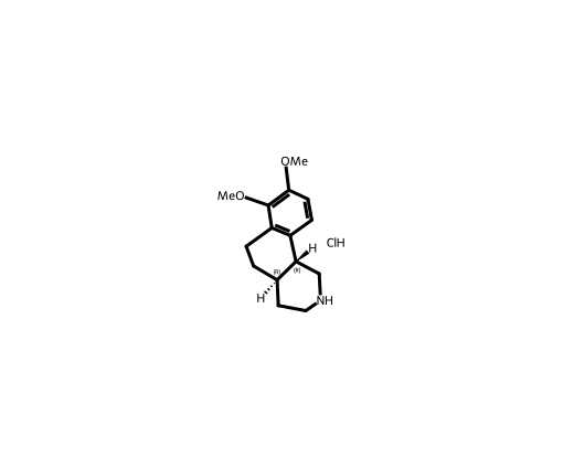 COc1ccc2c(c1OC)CC[C@@H]1CCNC[C@@H]21.Cl